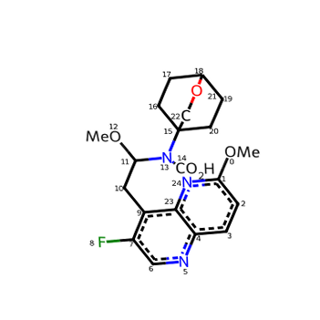 COc1ccc2ncc(F)c(CC(OC)N(C(=O)O)C34CCC(CC3)OC4)c2n1